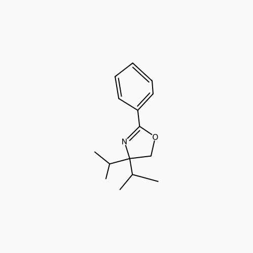 CC(C)C1(C(C)C)COC(c2ccccc2)=N1